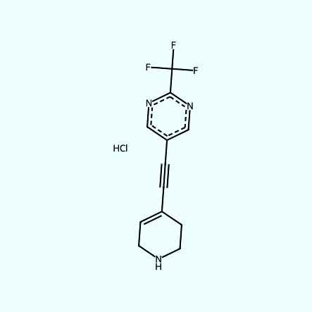 Cl.FC(F)(F)c1ncc(C#CC2=CCNCC2)cn1